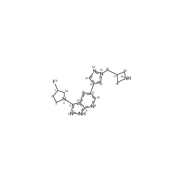 FC1CCN(c2n[nH]c3ncc(-c4cnn(CC5CNC5)c4)cc23)C1